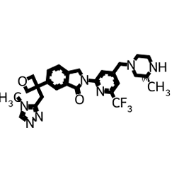 C[C@@H]1CN(Cc2cc(N3Cc4ccc(C5(Cc6nncn6C)COC5)cc4C3=O)nc(C(F)(F)F)c2)CCN1